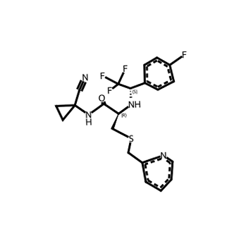 N#CC1(NC(=O)[C@H](CSCc2ccccn2)N[C@@H](c2ccc(F)cc2)C(F)(F)F)CC1